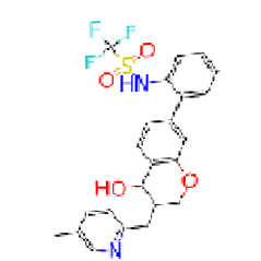 Cc1ccc(CC2COc3cc(-c4ccccc4NS(=O)(=O)C(F)(F)F)ccc3C2O)nc1